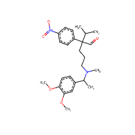 COc1ccc(C(C)N(C)CCCC(C=O)(c2ccc([N+](=O)[O-])cc2)C(C)C)cc1OC